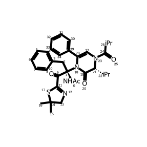 CC(=O)N[C@](Cc1ccccc1)(C(=O)C1=NCC(C)(C)S1)N1C(=O)[C@@H](C(C)C)N(C(=O)C(C)C)C=C1c1ccccc1